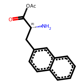 CC(=O)OC(=O)[C@H](N)Cc1ccc2ccccc2c1